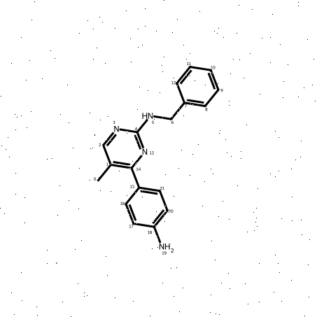 Cc1cnc(NCc2ccccc2)nc1-c1ccc(N)cc1